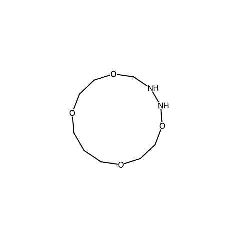 C1COCCOCNNOCCOC1